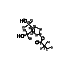 CCC(C)(C)C(=O)OC1CC2OC1C(C(C)(C)O)C2C(C)(C)O